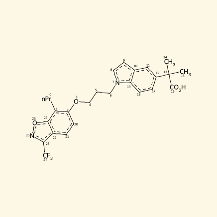 CCCc1c(OCCCn2ccc3cc(C(C)(C)C(=O)O)ccc32)ccc2c(C(F)(F)F)noc12